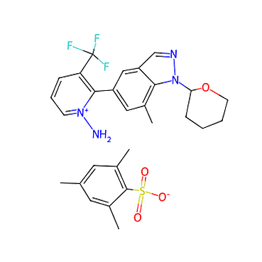 Cc1cc(-c2c(C(F)(F)F)ccc[n+]2N)cc2cnn(C3CCCCO3)c12.Cc1cc(C)c(S(=O)(=O)[O-])c(C)c1